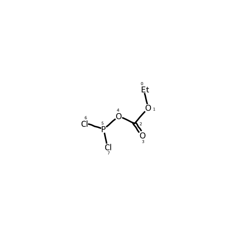 CCOC(=O)OP(Cl)Cl